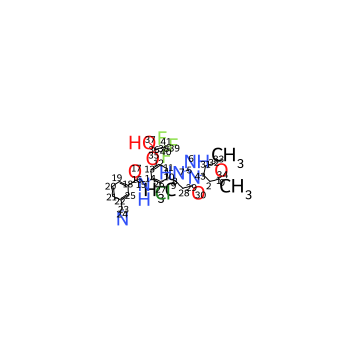 C[C@@H]1CC(N2C(=N)N[C@](C)(c3cccc(NC(=O)c4cccc(C#N)c4)c3Cl)CC2=O)C[C@H](C)O1.O=C(O)C(F)(F)F